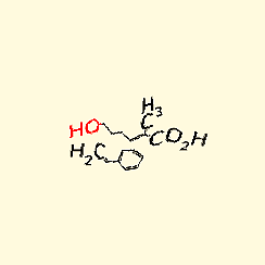 C=Cc1ccccc1.CC(=CCCCO)C(=O)O